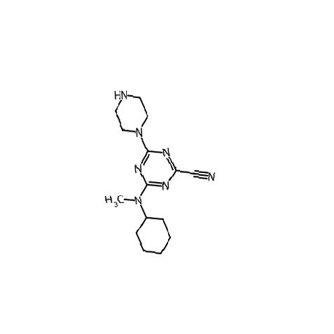 CN(c1nc(C#N)nc(N2CCNCC2)n1)C1CCCCC1